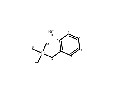 C[P+](C)(C)Cc1ccccc1.[Br-]